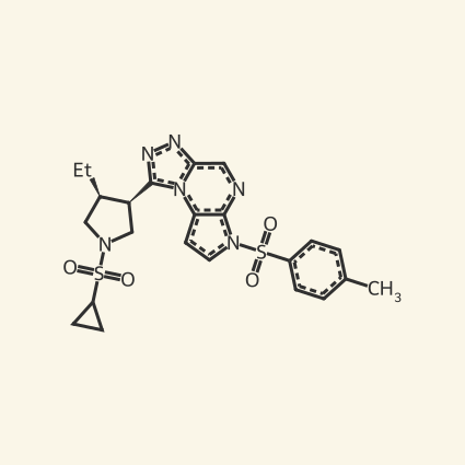 CC[C@@H]1CN(S(=O)(=O)C2CC2)C[C@@H]1c1nnc2cnc3c(ccn3S(=O)(=O)c3ccc(C)cc3)n12